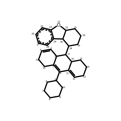 C1=CC2C(=C(C3CCCCC3)C3=CCCCC3C2C2CCCC3Oc4ccccc4C32)CC1